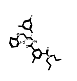 CCCN(CCC)C(=O)c1cc(C)cc(C(=O)N[C@@H](Cc2cc(F)cc(F)c2)[C@H](O)CNc2ccccc2)c1